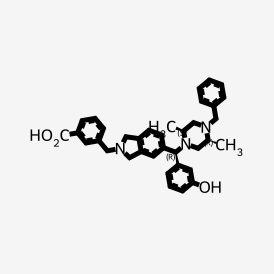 C[C@@H]1CN([C@@H](c2cccc(O)c2)c2ccc3c(c2)CN(Cc2cccc(C(=O)O)c2)C3)[C@@H](C)CN1Cc1ccccc1